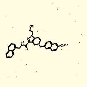 COc1ccc2cc(CN3CCc4c(c(C(=O)NCc5cccc6ccccc56)nn4CCO)C3)ccc2c1